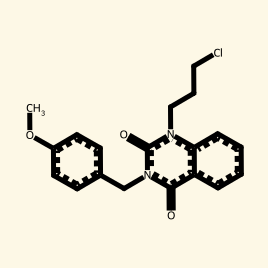 COc1ccc(Cn2c(=O)c3ccccc3n(CCCCl)c2=O)cc1